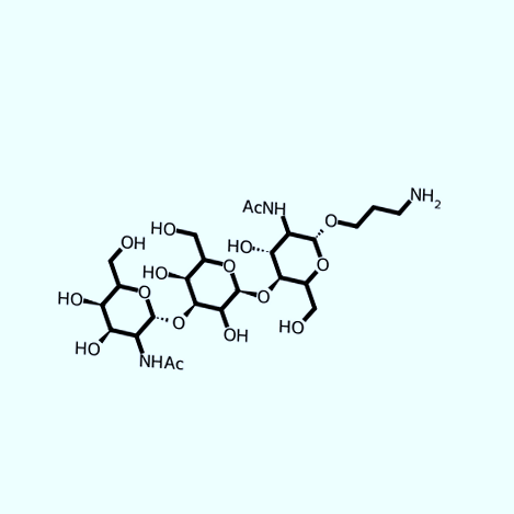 CC(=O)NC1[C@H](OCCCN)OC(CO)[C@@H](O[C@@H]2OC(CO)[C@H](O)[C@H](O[C@H]3OC(CO)[C@H](O)[C@H](O)C3NC(C)=O)C2O)[C@@H]1O